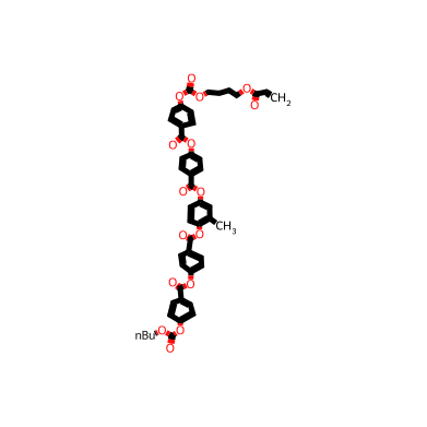 C=CC(=O)OCCCCOC(=O)Oc1ccc(C(=O)Oc2ccc(C(=O)Oc3ccc(OC(=O)c4ccc(OC(=O)c5ccc(OC(=O)OCCCC)cc5)cc4)c(C)c3)cc2)cc1